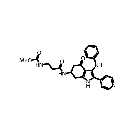 COC(=O)NCCC(=O)NC1CC(=O)c2c([nH]c(-c3ccncc3)c2Nc2ccccc2)C1